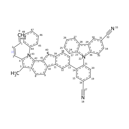 C=C/C=C\c1c(C)c2ccc3c4cc(-c5cc(C#N)ccc5-n5c6ccccc6c6cc(C#N)ccc65)ccc4sc3c2n1-c1ccccc1